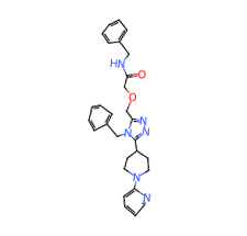 O=C(COCc1nnc(C2CCN(c3ccccn3)CC2)n1Cc1ccccc1)NCc1ccccc1